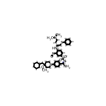 COC1(CC2CCCCC2)CCN(c2ccc(/C(N)=N\S(=O)(=O)c3ccc(N[C@H](CCN(C)C)CSc4ccccc4)c(N=O)c3)cc2)CC1